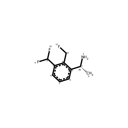 C[C@@H](N)c1cccc(C(F)F)c1CF